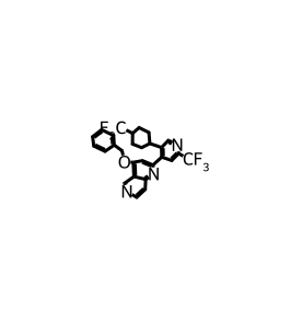 FC(F)(F)c1cc(-c2cc(OCc3ccccc3)c3cnccc3n2)c(C2CCC(C(F)(F)F)CC2)cn1